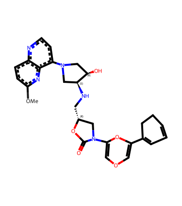 COc1ccc2nccc(N3C[C@@H](O)[C@@H](NC[C@@H]4CN(C5=COC=C(C6=CC=CCC6)O5)C(=O)O4)C3)c2n1